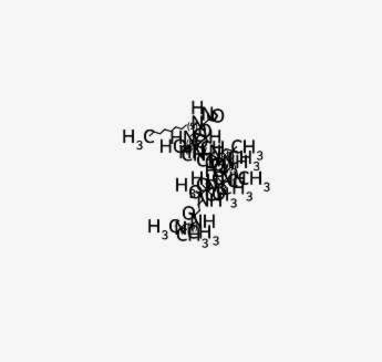 CCCCCCCC[C@H](NC(=O)c1cocn1)C(=O)N[C@H](C(=O)NC(C)(C)C(=O)N[C@@H](CC(C)C)C(=O)N[C@@H](CC(C)C)C(=O)NC(C)(C)C(=O)NC(C)(C)C(=O)NCCC(=O)N[C@@H](C)CN(C)C)[C@@H](C)O